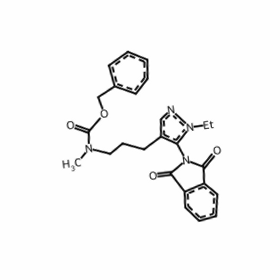 CCn1ncc(CCCN(C)C(=O)OCc2ccccc2)c1N1C(=O)c2ccccc2C1=O